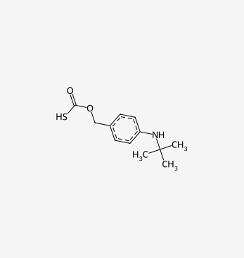 CC(C)(C)Nc1ccc(COC(=O)S)cc1